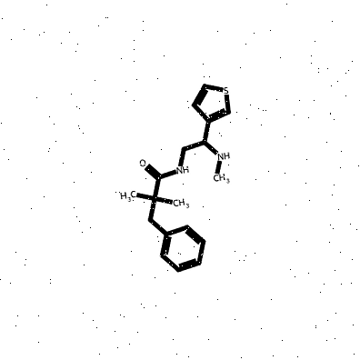 CNC(CNC(=O)C(C)(C)Cc1ccccc1)c1ccsc1